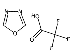 O=C(O)C(F)(F)F.c1nnco1